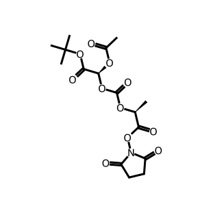 CC(=O)O[C@@H](OC(=O)O[C@@H](C)C(=O)ON1C(=O)CCC1=O)C(=O)OC(C)(C)C